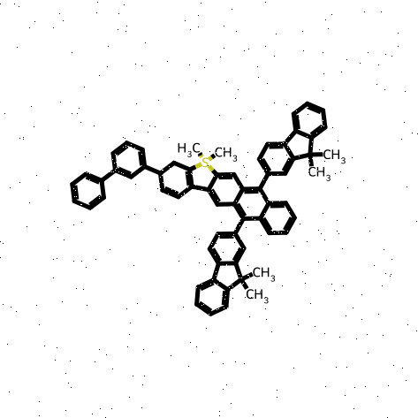 CC1(C)c2ccccc2-c2ccc(-c3c4ccccc4c(-c4ccc5c(c4)C(C)(C)c4ccccc4-5)c4cc5c(cc34)C3=C(CC(c4cccc(-c6ccccc6)c4)C=C3)S5(C)C)cc21